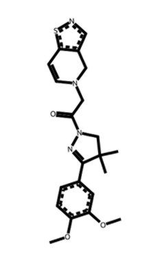 COc1ccc(C2=NN(C(=O)CN3C=Cc4sncc4C3)CC2(C)C)cc1OC